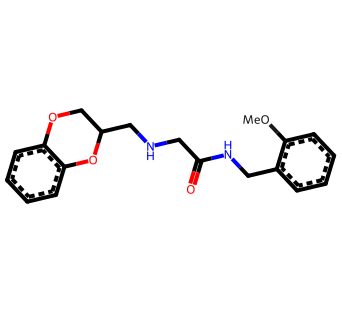 COc1ccccc1CNC(=O)CNCC1COc2ccccc2O1